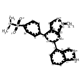 CN(C)S(=O)(=O)c1ccc(-c2nc(-c3cccc4[nH]ncc34)nc3c2cnn3C)cc1